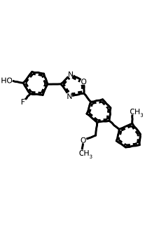 COCc1cc(-c2nc(-c3ccc(O)c(F)c3)no2)ccc1-c1ccccc1C